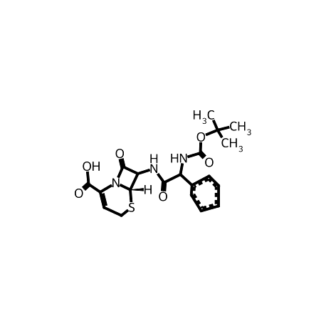 CC(C)(C)OC(=O)NC(C(=O)NC1C(=O)N2C(C(=O)O)=CCS[C@@H]12)c1ccccc1